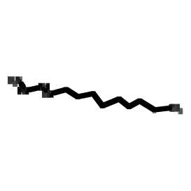 C[CH]CCCCCCCNNNN